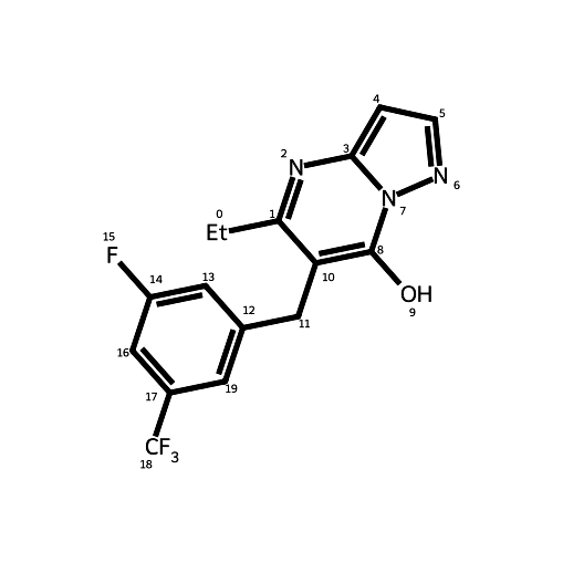 CCc1nc2ccnn2c(O)c1Cc1cc(F)cc(C(F)(F)F)c1